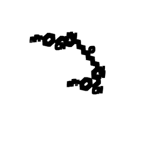 CCC[C@H]1CC[C@H](C(C#N)Cc2ccc(CCCCC(=O)CCCCc3ccc(CC(C#N)[C@H]4CC[C@H](CCC)CC4)nn3)nn2)CC1